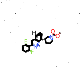 COC(=O)N1CCCC([C@@]23CC[C@@H](c4cc(-c5c(F)cccc5F)nnc42)C3(C)C)C1